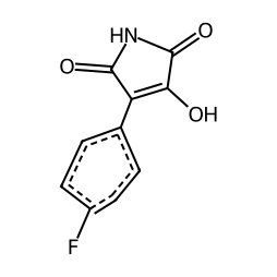 O=C1NC(=O)C(c2ccc(F)cc2)=C1O